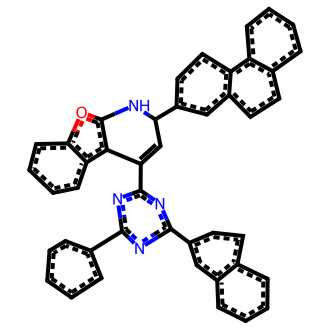 C1=C(c2nc(-c3ccccc3)nc(-c3ccc4ccccc4c3)n2)c2c(oc3ccccc23)NC1c1ccc2c(ccc3ccccc32)c1